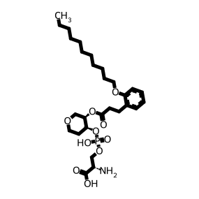 CCCCCCCCCCCOc1ccccc1CCC(=O)O[C@@H]1COCC[C@@H]1OP(=O)(O)OC[C@H](N)C(=O)O